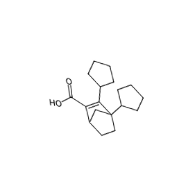 O=C(O)C1=C(C2CCCC2)C2(C3CCCC3)CCC1C2